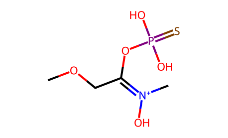 COCC(OP(O)(O)=S)=[N+](C)O